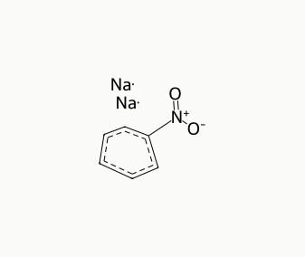 O=[N+]([O-])c1ccccc1.[Na].[Na]